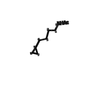 CC(=O)NCCCCC1CC1